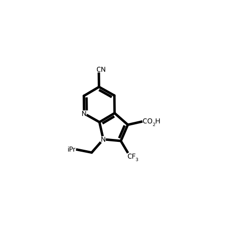 CC(C)Cn1c(C(F)(F)F)c(C(=O)O)c2cc(C#N)cnc21